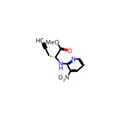 C#CC[C@@H](Nc1ncccc1[N+](=O)[O-])C(=O)OC